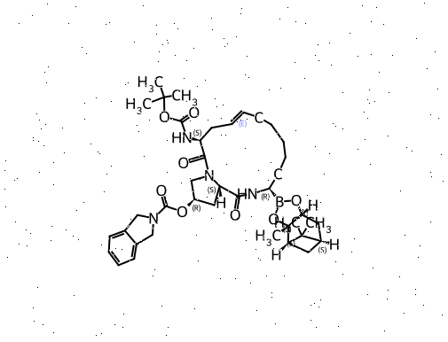 CC(C)(C)OC(=O)N[C@H]1C/C=C/CCCCC[C@@H](B2O[C@@H]3C[C@@H]4C[C@@H](C4(C)C)[C@]3(C)O2)NC(=O)[C@@H]2C[C@@H](OC(=O)N3Cc4ccccc4C3)CN2C1=O